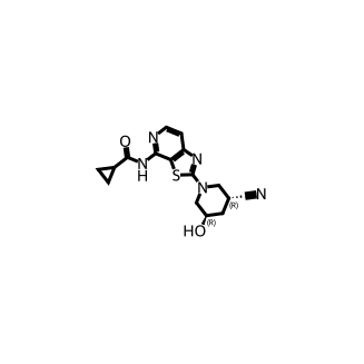 N#C[C@@H]1C[C@@H](O)CN(c2nc3ccnc(NC(=O)C4CC4)c3s2)C1